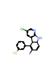 Sc1cccc(C2=C(I)C=CC3Nc4ncc(Cl)cc4C23)c1